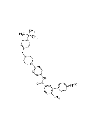 [C-]#[N+]c1ccc(-c2cc(C(=O)Nc3ccc(N4CCN(Cc5ccc(C(C)(C)C)cc5)CC4)nc3)ccc2C)cc1